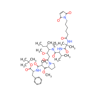 CCC(C)C(C(CC(=O)N1CCC[C@H]1C(OC)C(C)C(=O)NC(Cc1ccccc1)C(=O)OC(C)(C)C)OC)N(C)C(=O)C(NC(=O)C(C)(C)NC(=O)CCCCCN1C(=O)C=CC1=O)C(C)C